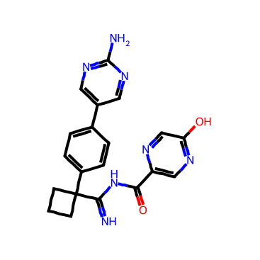 N=C(NC(=O)c1cnc(O)cn1)C1(c2ccc(-c3cnc(N)nc3)cc2)CCC1